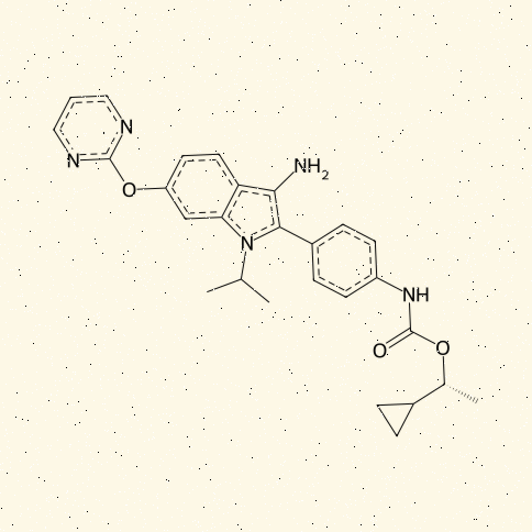 CC(C)n1c(-c2ccc(NC(=O)O[C@H](C)C3CC3)cc2)c(N)c2ccc(Oc3ncccn3)cc21